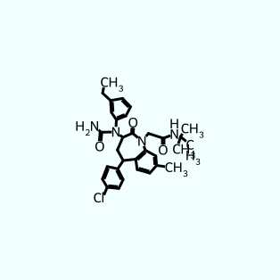 CCc1cccc(N(C(N)=O)C2CC(c3ccc(Cl)cc3)c3ccc(C)cc3N(CC(=O)NC(C)(C)C)C2=O)c1